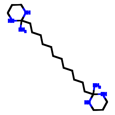 NC1(CCCCCCCCCCCCC2(N)NCCCN2)NCCCN1